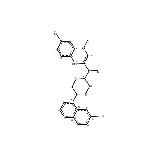 CO/N=C(\Nc1ccc(Cl)cc1)C(C)C1CCC(c2ccnc3ccc(F)cc23)CC1